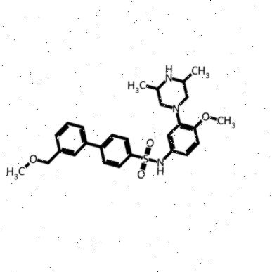 COCc1cccc(-c2ccc(S(=O)(=O)Nc3ccc(OC)c(N4CC(C)NC(C)C4)c3)cc2)c1